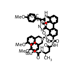 COc1ccc(CN(Cc2ccc(OC)cc2)S(=O)(=O)c2c(S(=O)(=O)NC(=O)C[C@H](C)NC(=O)OC(C)(C)C)ccc(-c3cccc4[nH]c(NC(=O)O)nc34)c2-c2nnn(Cc3ccc(OC)cc3)n2)cc1